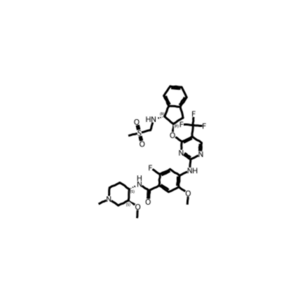 COc1cc(C(=O)N[C@H]2CCN(C)C[C@@H]2OC)c(F)cc1Nc1ncc(C(F)(F)F)c(O[C@@H]2Cc3ccccc3[C@H]2NCS(C)(=O)=O)n1